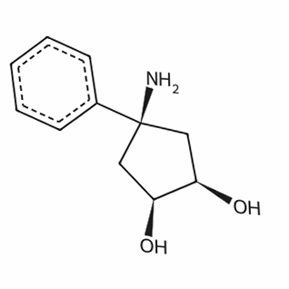 N[C@@]1(c2ccccc2)C[C@@H](O)[C@@H](O)C1